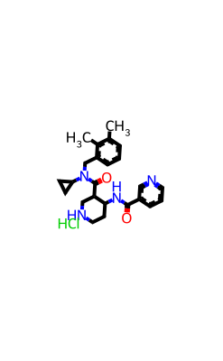 Cc1cccc(CN(C(=O)C2CNCCC2NC(=O)c2cccnc2)C2CC2)c1C.Cl